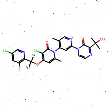 [2H]C([2H])(Oc1cc(C)n(-c2cc(-n3ccnc(C(C)(C)O)c3=O)ncc2C)c(=O)c1Cl)c1ncc(Cl)cc1F